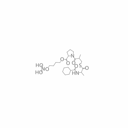 CC(CSC(=O)C(C)NC(=O)C1CCCCC1)C(=O)N1CCCC1C(=O)OCCCCON(O)O